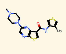 CN1CCN(c2cnc3scc(C(=O)Nc4cscc4C#N)c3n2)CC1